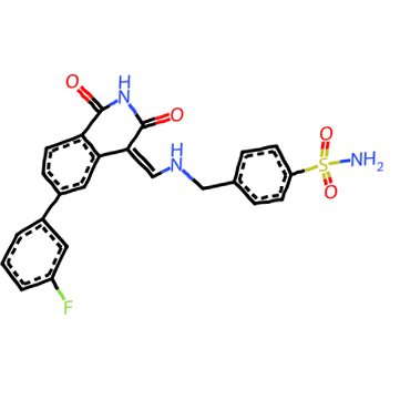 NS(=O)(=O)c1ccc(CNC=C2C(=O)NC(=O)c3ccc(-c4cccc(F)c4)cc32)cc1